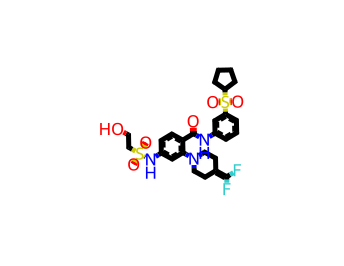 O=C(Nc1cccc(S(=O)(=O)C2CCCC2)c1)c1ccc(NS(=O)(=O)CCO)cc1N1CCC(=C(F)F)CC1